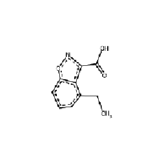 CCc1cccc2onc(C(=O)O)c12